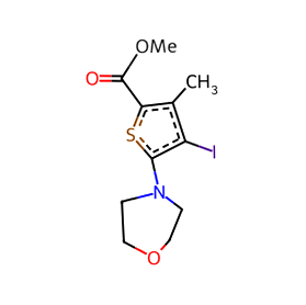 COC(=O)c1sc(N2CCOCC2)c(I)c1C